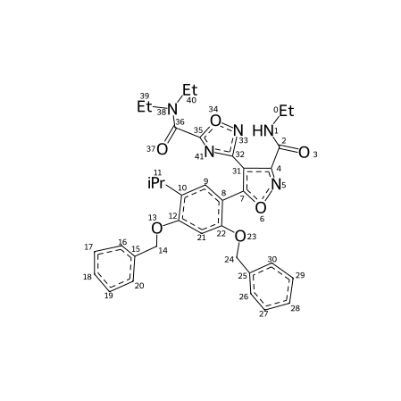 CCNC(=O)c1noc(-c2cc(C(C)C)c(OCc3ccccc3)cc2OCc2ccccc2)c1-c1noc(C(=O)N(CC)CC)n1